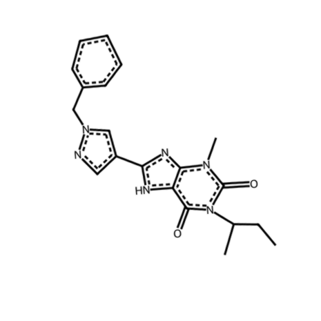 CCC(C)n1c(=O)c2[nH]c(-c3cnn(Cc4ccccc4)c3)nc2n(C)c1=O